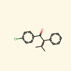 CC(C)=C(C(=O)c1ccc(Cl)cc1)c1ccccc1